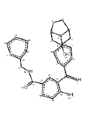 N=C(c1ccc(N2C3CCC2CC(O)C3)cc1)c1cc(C(=O)NCc2ccccn2)ccc1N